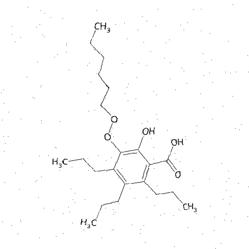 CCCCCCOOc1c(O)c(C(=O)O)c(CCC)c(CCC)c1CCC